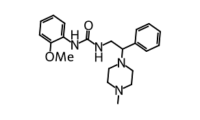 COc1ccccc1NC(=O)NCC(c1ccccc1)N1CCN(C)CC1